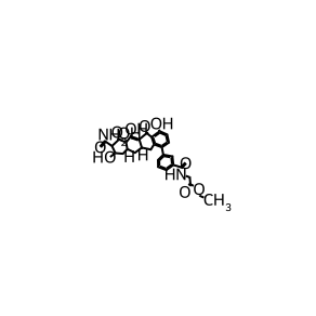 CCOC(=O)CNC(=O)c1cccc(-c2ccc(O)c3c2C[C@H]2C[C@H]4CC(O)C(C(N)=O)C(=O)[C@@]4(O)C(O)=C2C3=O)c1